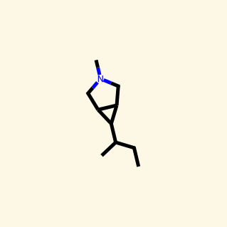 CCC(C)C1C2CN(C)CC21